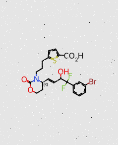 O=C(O)c1ccc(CCCN2C(=O)OCC[C@@H]2C=CC(O)C(F)(F)c2cccc(Br)c2)s1